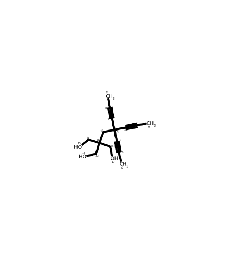 CC#CC(C#CC)(C#CC)CC(CO)(CO)CO